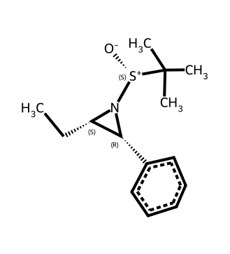 CC[C@H]1[C@@H](c2ccccc2)N1[S@+]([O-])C(C)(C)C